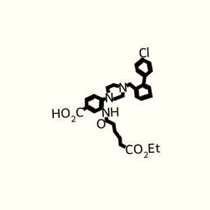 CCOC(=O)CCCCC(=O)Nc1cc(C(=O)O)ccc1N1CCN(Cc2ccccc2-c2ccc(Cl)cc2)CC1